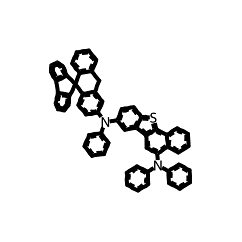 c1ccc(N(c2ccc3c(c2)Cc2ccccc2C32c3ccccc3-c3ccccc32)c2ccc3sc4c5ccccc5c(N(c5ccccc5)c5ccccc5)cc4c3c2)cc1